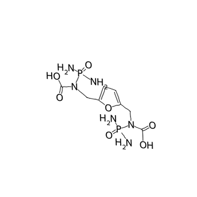 NP(N)(=O)N(Cc1ccc(CN(C(=O)O)P(N)(N)=O)o1)C(=O)O